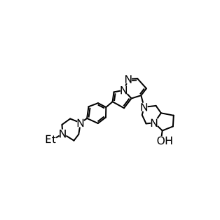 CCN1CCN(c2ccc(-c3cc4c(N5CCN6C(O)CCC6C5)ccnn4c3)cc2)CC1